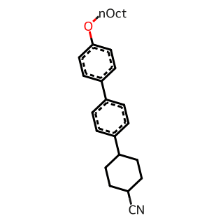 CCCCCCCCOc1ccc(-c2ccc(C3CCC(C#N)CC3)cc2)cc1